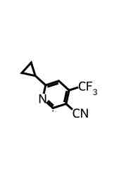 N#Cc1[c]nc(C2CC2)cc1C(F)(F)F